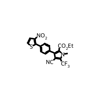 CCOC(=O)c1c(-c2ccc(-c3sccc3[N+](=O)[O-])cc2)c(C#N)c(C(F)(F)F)n1C